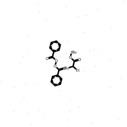 CCCCC(CC)C(=O)OC(C)(C)C.O=C(OOC(=O)c1ccccc1)c1ccccc1